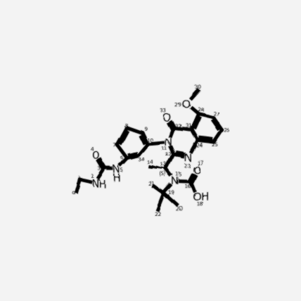 CCNC(=O)Nc1cccc(-n2c([C@H](C)N(C(=O)O)C(C)(C)C)nc3cccc(OC)c3c2=O)c1